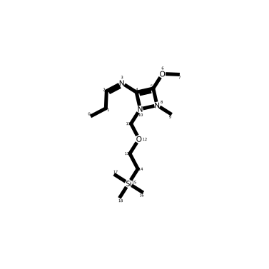 CC/C=N\c1c(OC)n(C)n1COCC[Si](C)(C)C